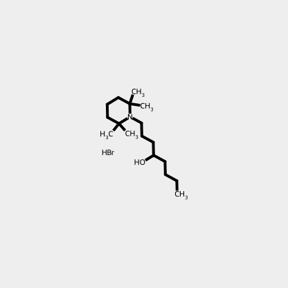 Br.CCCCC(O)CCCN1C(C)(C)CCCC1(C)C